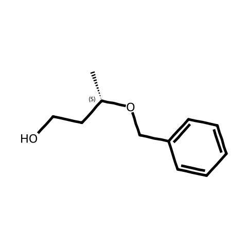 C[C@@H](CCO)OCc1ccccc1